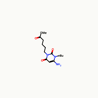 CCCCn1c(N)cc(=O)n(CCCCC(=O)OC)c1=O